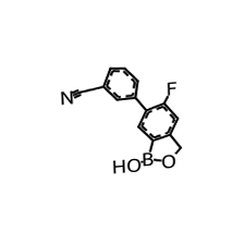 N#Cc1cccc(-c2cc3c(cc2F)COB3O)c1